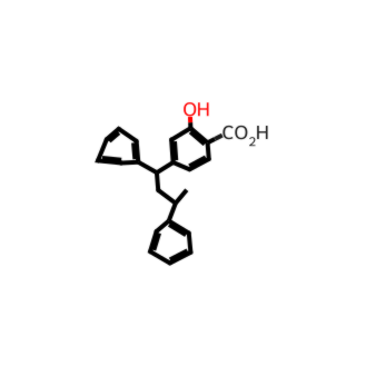 CC(CC(c1ccccc1)c1ccc(C(=O)O)c(O)c1)c1ccccc1